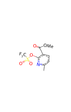 COC(=O)c1ccc(C)nc1OS(=O)(=O)C(F)(F)F